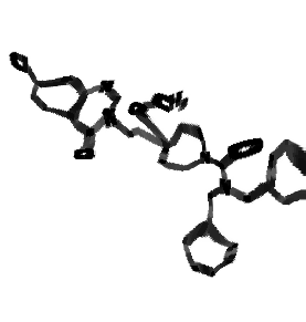 COC1(Cn2cnc3cc(Cl)ccc3c2=O)CCN(C(=O)N(Cc2ccccc2)Cc2ccccc2)CC1